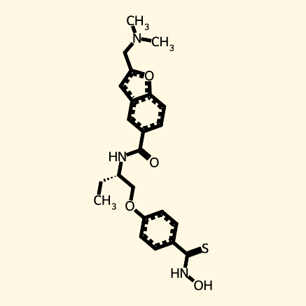 CC[C@@H](COc1ccc(C(=S)NO)cc1)NC(=O)c1ccc2oc(CN(C)C)cc2c1